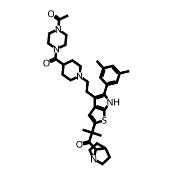 CC(=O)N1CCN(C(=O)C2CCN(CCc3c(-c4cc(C)cc(C)c4)[nH]c4sc(C(C)(C)C(=O)C5C6CCN5CC6)cc34)CC2)CC1